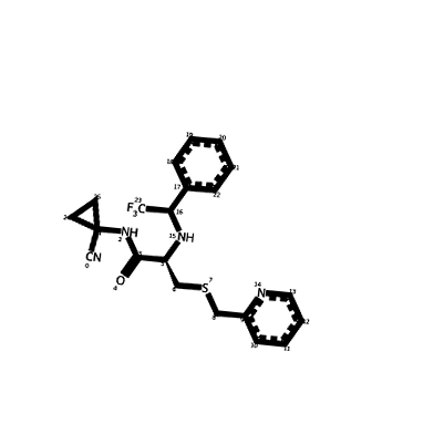 N#CC1(NC(=O)[C@H](CSCc2ccccn2)NC(c2ccccc2)C(F)(F)F)CC1